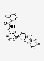 Cc1ccccc1C(=O)NCc1cccc(N2CCN(Cc3ccccc3)CC2)c1